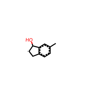 Cc1ccc2c(c1)C(O)[CH]C2